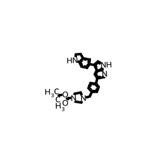 CC(C)OC(=O)N1CCN(Cc2ccc(-c3cnc4[nH]cc(-c5ccc6c(c5)CCN6)c4c3)cc2)CC1